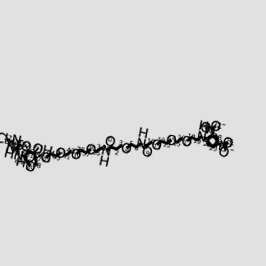 O=C(CCOCCNC(=O)COCCOCCOCCNc1ccc([N+](=O)[O-])cc1[N+](=O)[O-])NCCOCCOCCOCCOC[C@@]12CO[C@@H](O1)[C@H](Nc1nc(Cl)ns1)[C@@H](O)[C@H]2O